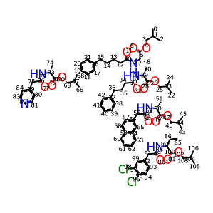 CC(C)COC(=O)[C@H](C)NC(=O)CCCCc1ccccc1.CC(C)COC(=O)[C@H](C)NC(=O)CCCc1ccccc1.CC(C)COC(=O)[C@H](C)NC(=O)Cc1ccc2ccccc2c1.CC(C)COC(=O)[C@H](C)NC(=O)Cc1ccncc1.CCC(NC(=O)Cc1ccc(Cl)c(Cl)c1)C(=O)OCC(C)C